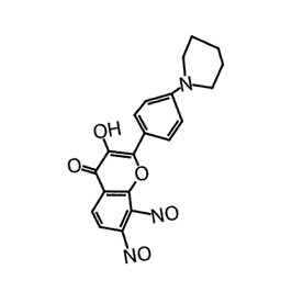 O=Nc1ccc2c(=O)c(O)c(-c3ccc(N4CCCCC4)cc3)oc2c1N=O